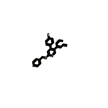 C=C/C=C(\C=C/C)c1cnc(OCc2ccncc2)cc1-c1ccc(F)cc1